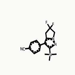 C[Si](C)(C)c1nn2c(c1-c1ccc(C#N)cc1)CC(F)(F)C2